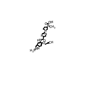 C#CCOc1cc2nn(C)cc2cc1NC(=O)c1cnc(N2CC[C@@H](N(C)C(=O)O)C2)cn1